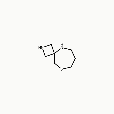 C1CNC2(CNC2)CSC1